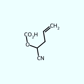 C=CCC(C#N)OC(=O)O